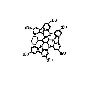 CC(C)(C)c1ccc2c(c1)c1cc(C(C)(C)C)cc3c1n2-c1c2c4c5c(c1C1CCCCC1)-n1c6ccc(C(C)(C)C)cc6c6cc(C(C)(C)C)cc(c61)B5c1cc(C(C)(C)C)cc5c6cc(C(C)(C)C)cc(c6n-4c15)B23